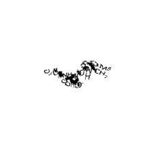 COC(=O)[C@H](C)NC(=O)OC[n+]1cccc(C(=O)NCCO[N+](=O)[O-])c1.O=C[O-]